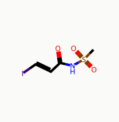 CS(=O)(=O)NC(=O)/C=C/I